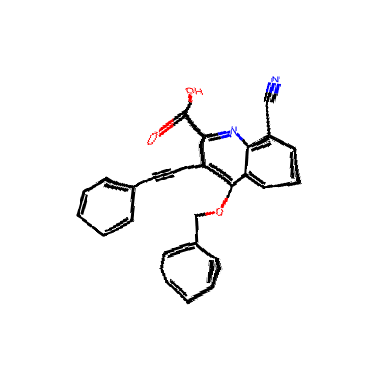 N#Cc1cccc2c(OCc3ccccc3)c(C#Cc3ccccc3)c(C(=O)O)nc12